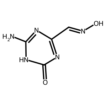 Nc1nc(/C=N/O)nc(=O)[nH]1